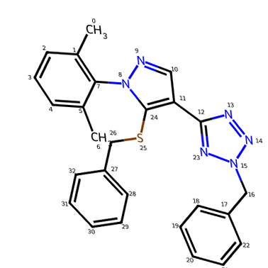 Cc1cccc(C)c1-n1ncc(-c2nnn(Cc3ccccc3)n2)c1SCc1ccccc1